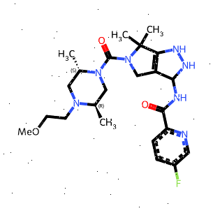 COCCN1C[C@H](C)N(C(=O)N2CC3=C(NNC3NC(=O)c3ccc(F)cn3)C2(C)C)C[C@H]1C